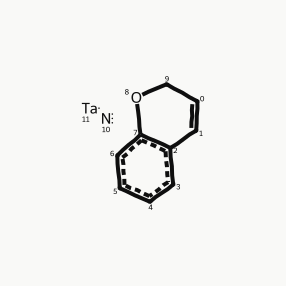 C1=Cc2ccccc2OC1.[N].[Ta]